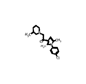 Cc1cc(C(=O)CN2CCCC(C)C2)c(C)n1-c1ccc(Cl)cc1